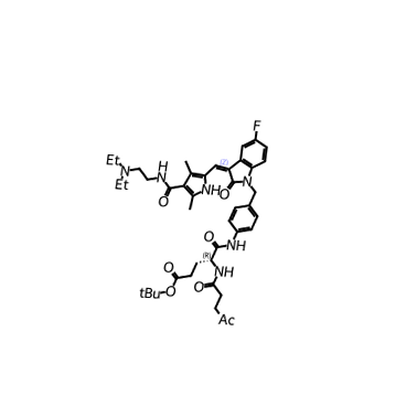 CCN(CC)CCNC(=O)c1c(C)[nH]c(/C=C2\C(=O)N(Cc3ccc(NC(=O)[C@@H](CCC(=O)OC(C)(C)C)NC(=O)CCC(C)=O)cc3)c3ccc(F)cc32)c1C